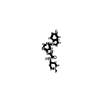 CN1CCC(NC(=O)c2nc3c(N4CCc5cc(F)ccc54)ncnc3s2)CC1